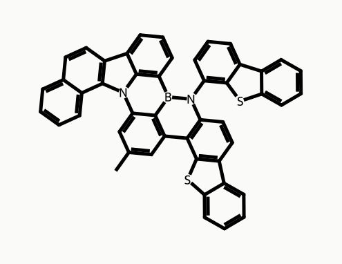 Cc1cc2c3c(c1)-n1c4c(cccc4c4ccc5ccccc5c41)B3N(c1cccc3c1sc1ccccc13)c1ccc3c(sc4ccccc43)c1-2